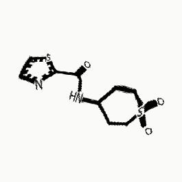 O=C(NC1CCS(=O)(=O)CC1)c1nccs1